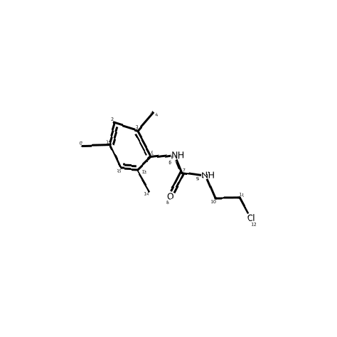 Cc1cc(C)c(NC(=O)NCCCl)c(C)c1